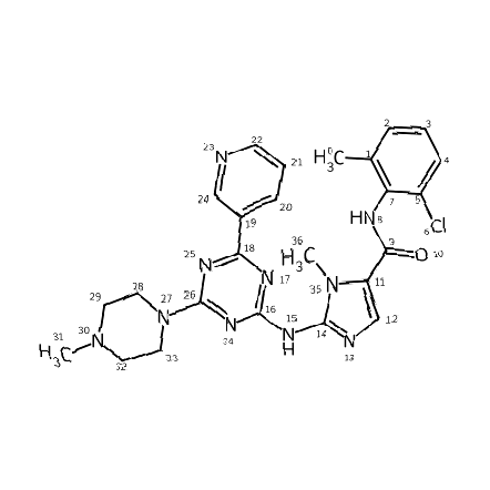 Cc1cccc(Cl)c1NC(=O)c1cnc(Nc2nc(-c3cccnc3)nc(N3CCN(C)CC3)n2)n1C